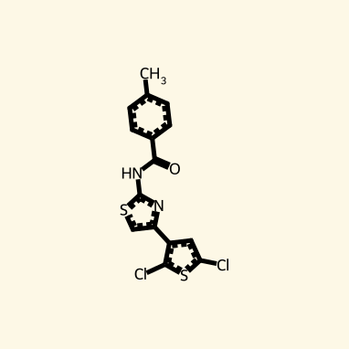 Cc1ccc(C(=O)Nc2nc(-c3cc(Cl)sc3Cl)cs2)cc1